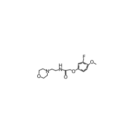 COc1ccc(OCC(=O)NCCN2CCOCC2)cc1F